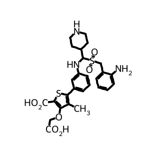 Cc1c(-c2cccc(NC(C3CCNCC3)S(=O)(=O)Cc3ccccc3N)c2)sc(C(=O)O)c1OCC(=O)O